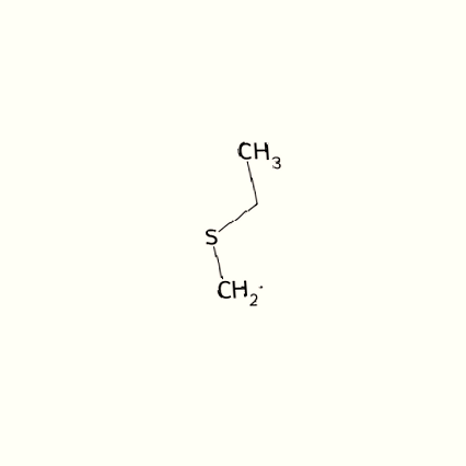 [CH2]SCC